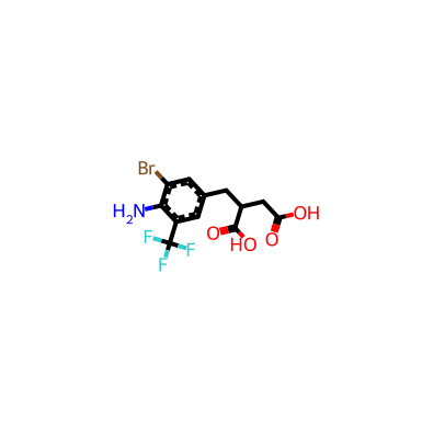 Nc1c(Br)cc(CC(CC(=O)O)C(=O)O)cc1C(F)(F)F